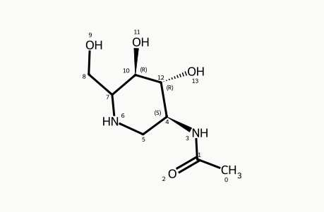 CC(=O)N[C@H]1CNC(CO)[C@@H](O)[C@@H]1O